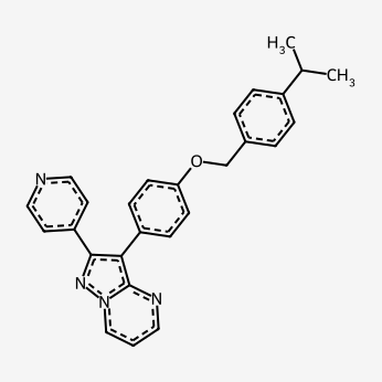 CC(C)c1ccc(COc2ccc(-c3c(-c4ccncc4)nn4cccnc34)cc2)cc1